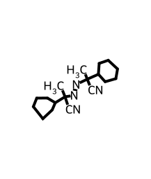 CC(C#N)(N=NC(C)(C#N)C1CCCCC1)C1CCCCC1